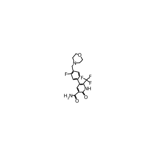 NC(=O)c1cc(-c2ccc(CN3CCOCC3)c(F)c2)c(C(F)(F)F)[nH]c1=O